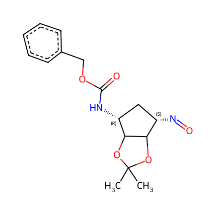 CC1(C)OC2C(O1)[C@H](NC(=O)OCc1ccccc1)C[C@@H]2N=O